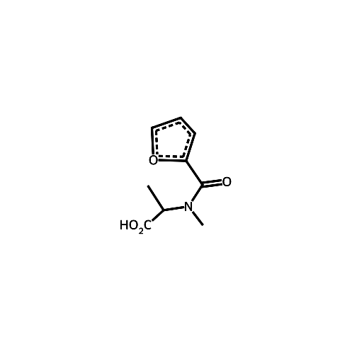 CC(C(=O)O)N(C)C(=O)c1ccco1